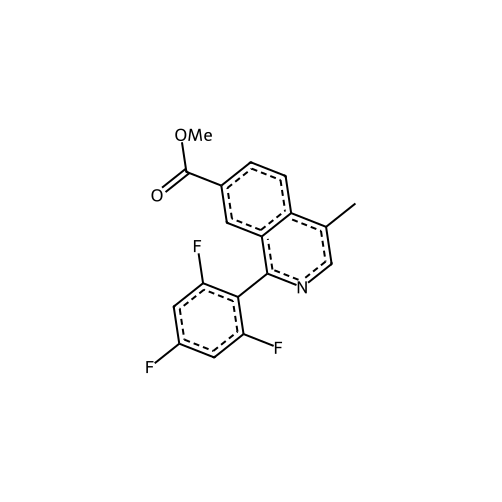 COC(=O)c1ccc2c(C)cnc(-c3c(F)cc(F)cc3F)c2c1